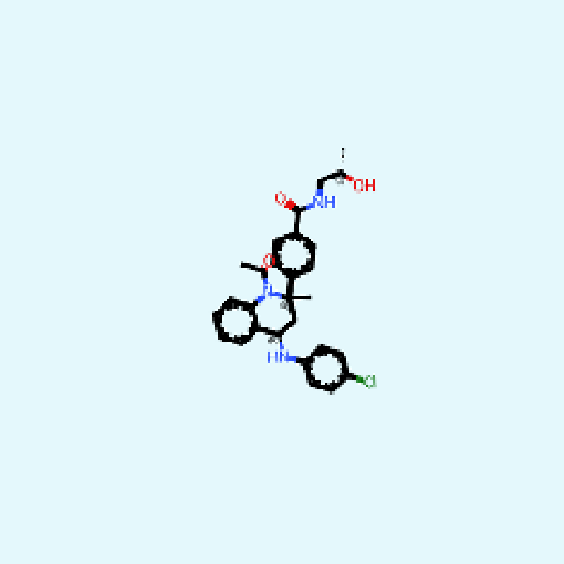 CC(=O)N1c2ccccc2[C@H](Nc2ccc(Cl)cc2)C[C@@]1(C)c1ccc(C(=O)NC[C@H](C)O)cc1